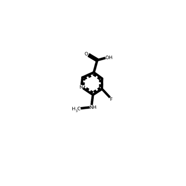 CNc1ncc(C(=O)O)cc1F